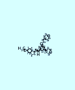 COc1ccc2c(c1)CCC2=NNc1cc(N2CCOCC2)nc(OCCN2CCOCC2)n1